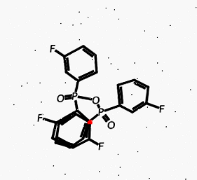 O=P(OP(=O)(c1cccc(F)c1)c1cccc(F)c1)(c1cccc(F)c1)c1cccc(F)c1